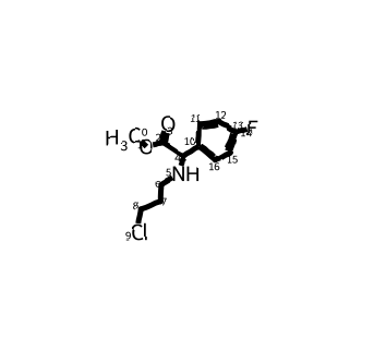 COC(=O)C(NCCCCl)c1ccc(F)cc1